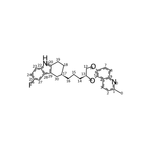 Cc1ccc2c3c(ccc2n1)OC[C@H](CCC[C@@H]1CCc2[nH]c4ccc(F)cc4c2C1)O3